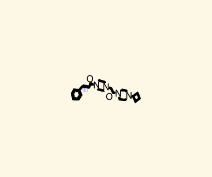 O=C(/C=C/c1ccccc1)N1CCN(CC(=O)N2CCN(C3CCC3)CC2)CC1